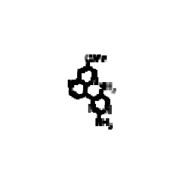 COc1cnc2c(-c3nc(N)ncc3N)ccnc2c1